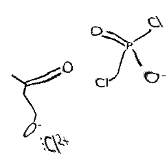 CC(=O)[O-].O=P([O-])(Cl)Cl.[Cl+2]